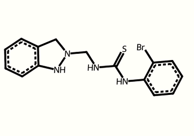 S=C(NCN1Cc2ccccc2N1)Nc1ccccc1Br